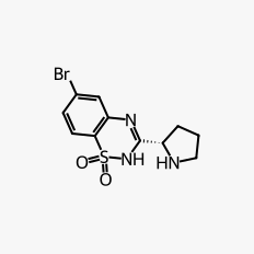 O=S1(=O)NC([C@@H]2CCCN2)=Nc2cc(Br)ccc21